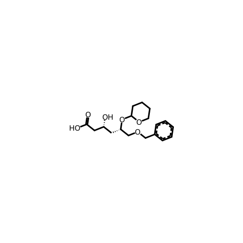 O=C(O)C[C@H](O)C[C@@H](COCc1ccccc1)OC1CCCCO1